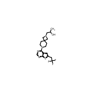 CC(O)CN1CC2(CCN(c3ncnc4sc(CC(F)(F)F)cc34)CC2)C1